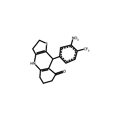 O=C1CCCC2=C1C(c1ccc(C(F)(F)F)c([N+](=O)[O-])c1)C1=C(CCS1)N2